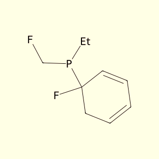 CCP(CF)C1(F)C=CC=CC1